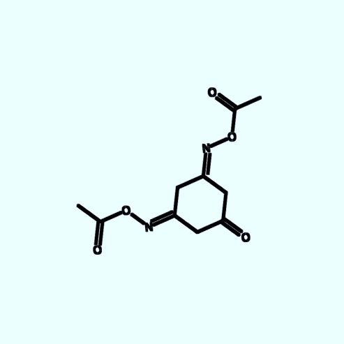 CC(=O)O/N=C1\CC(=O)C/C(=N/OC(C)=O)C1